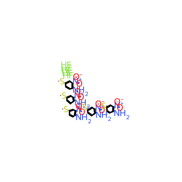 F.F.F.F.F.Nc1ccc([S])cc1[N+](=O)[O-].Nc1ccc([S])cc1[N+](=O)[O-].Nc1ccc([S])cc1[N+](=O)[O-].Nc1ccc([S])cc1[N+](=O)[O-].Nc1ccc([S])cc1[N+](=O)[O-]